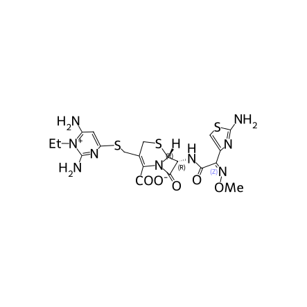 CC[n+]1c(N)cc(SCC2=C(C(=O)[O-])N3C(=O)[C@@H](NC(=O)/C(=N\OC)c4csc(N)n4)[C@H]3SC2)nc1N